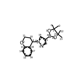 CC1(C)OB(c2cnn(C3CCOc4ccccc43)c2)OC1(C)C